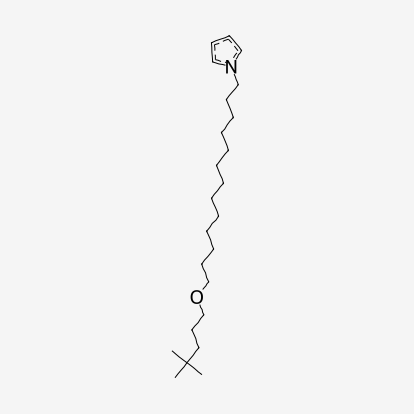 CC(C)(C)CCCOCCCCCCCCCCCCCn1cccc1